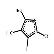 CCn1nc(C(C)(C)C)c(C)c1I